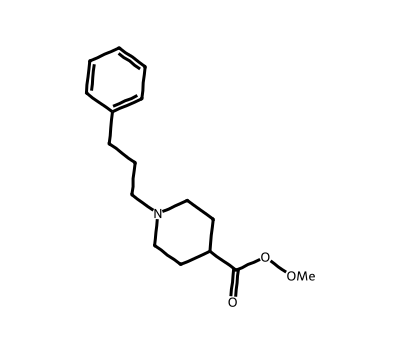 COOC(=O)C1CCN(CCCc2ccccc2)CC1